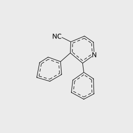 N#Cc1ccnc(-c2ccccc2)c1-c1ccccc1